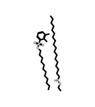 CCCCCCCCCCCCCCCCCCNOCC.CCCCCCCCCCCCOS(=O)(=O)c1cccc(C)c1C